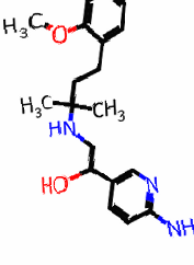 COc1ccccc1CCC(C)(C)NCC(O)c1ccc(N)nc1